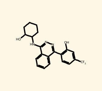 Oc1cc(C(F)(F)F)ccc1-c1nnc(NC2CCCCC2O)c2ccccc12